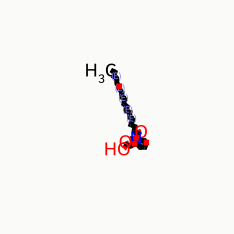 CC/C=C/C/C=C/C/C=C/C/C=C/C/C=C/CCCC(=O)n1cc(CC(=O)O)c2ccccc21